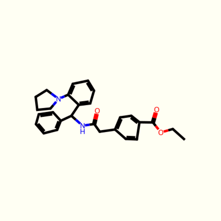 CCOC(=O)c1ccc(CC(=O)NC(c2ccccc2)c2ccccc2N2CCCC2)cc1